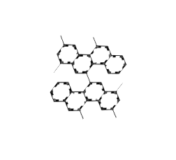 Cc1cc(C)c2cc(-c3cc4c(C)cc(C)cc4c4c(C)cc5ccccc5c34)c3c4ccccc4cc(C)c3c2c1